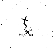 CC(F)(F)CCOC(O)(C(=O)O)C(F)(F)F